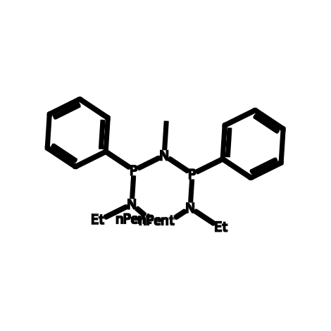 CCCCCN(CC)P(c1ccccc1)N(C)P(c1ccccc1)N(CC)CCCCC